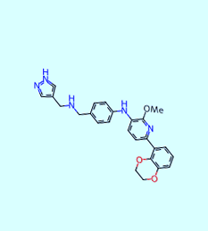 COc1nc(-c2cccc3c2OCCO3)ccc1Nc1ccc(CNCc2cn[nH]c2)cc1